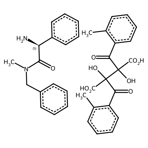 CN(Cc1ccccc1)C(=O)[C@@H](N)c1ccccc1.Cc1ccccc1C(=O)C(O)(C(=O)O)C(O)(C(=O)O)C(=O)c1ccccc1C